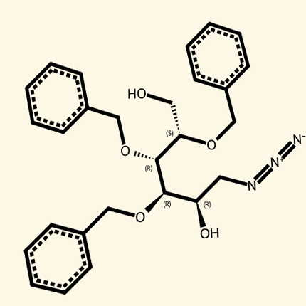 [N-]=[N+]=NC[C@@H](O)[C@@H](OCc1ccccc1)[C@H](OCc1ccccc1)[C@H](CO)OCc1ccccc1